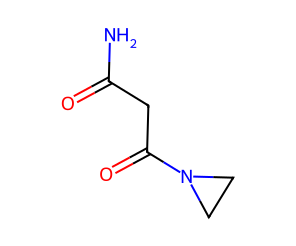 NC(=O)CC(=O)N1CC1